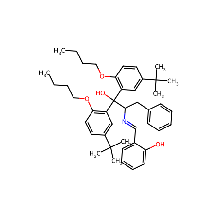 CCCCOc1ccc(C(C)(C)C)cc1C(O)(c1cc(C(C)(C)C)ccc1OCCCC)C(Cc1ccccc1)N=Cc1ccccc1O